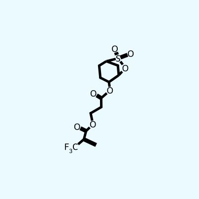 C=C(C(=O)OCCC(=O)OC1CCC2CC1OS2(=O)=O)C(F)(F)F